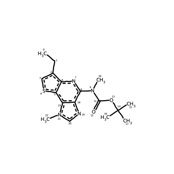 CCc1csc2c1nc(N(C)C(=O)OC(C)(C)C)c1ncn(C)c12